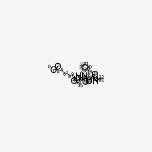 COC(=O)CCCCCCC(=O)N[C@H](C(=O)NC(Cc1ccccc1)C(O)C(=O)NC1CC1)C(C)C